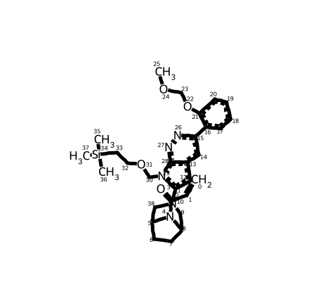 C=CC(=O)N1C2CCC1CN(c1cc3cc(-c4ccccc4OCOC)nnc3n1COCC[Si](C)(C)C)C2